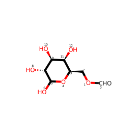 O=COC[C@H]1OC(O)[C@H](O)[C@@H](O)[C@H]1O